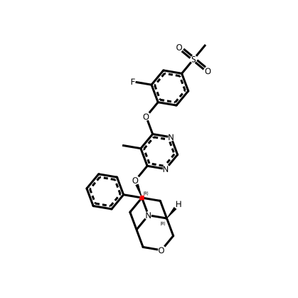 Cc1c(Oc2ccc(S(C)(=O)=O)cc2F)ncnc1O[C@@H]1CC2COC[C@@H](C1)N2Cc1ccccc1